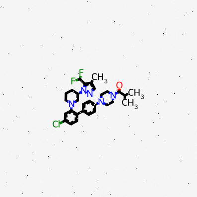 Cc1cnn(C2CCCN(c3cc(Cl)ccc3-c3ccc(N4CCN(C(=O)C(C)C)CC4)cc3)C2)c1C(F)F